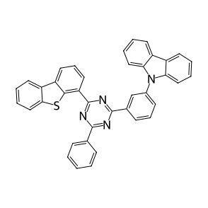 c1ccc(-c2nc(-c3cccc(-n4c5ccccc5c5ccccc54)c3)nc(-c3cccc4c3sc3ccccc34)n2)cc1